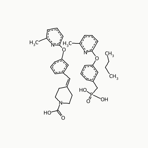 CCCC.Cc1cccc(Oc2cccc(C=C3CCN(C(=O)O)CC3)c2)n1.Cc1cccc(Oc2cccc(CP(=O)(O)O)c2)n1